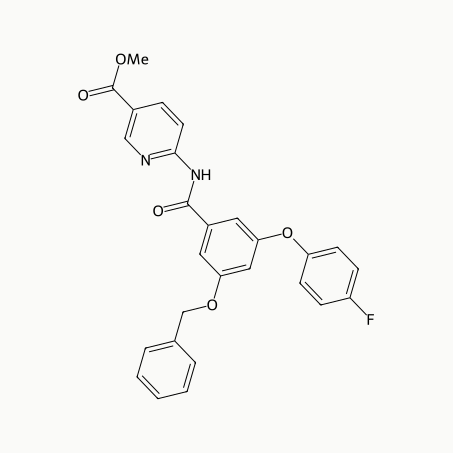 COC(=O)c1ccc(NC(=O)c2cc(OCc3ccccc3)cc(Oc3ccc(F)cc3)c2)nc1